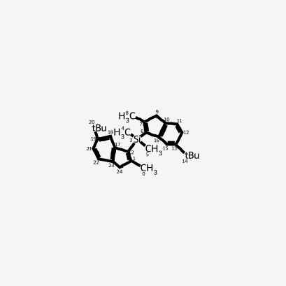 CC1=C([Si](C)(C)C2=C(C)[CH]c3ccc(C(C)(C)C)cc32)c2cc(C(C)(C)C)ccc2[CH]1